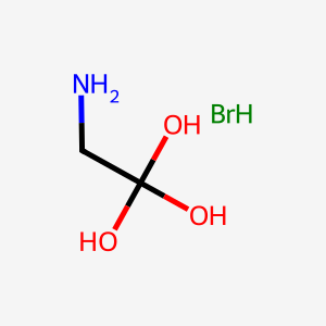 Br.NCC(O)(O)O